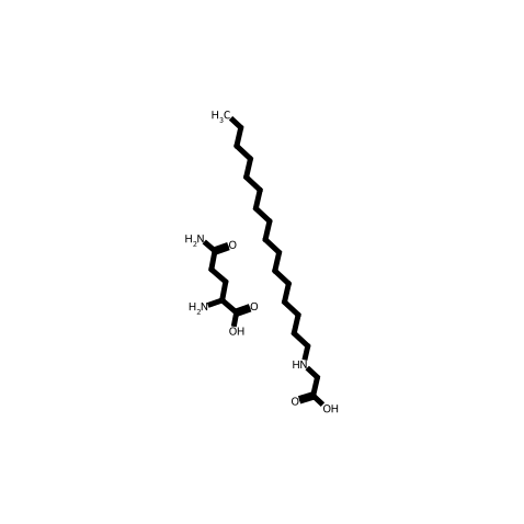 CCCCCCCCCCCCCCCCNCC(=O)O.NC(=O)CCC(N)C(=O)O